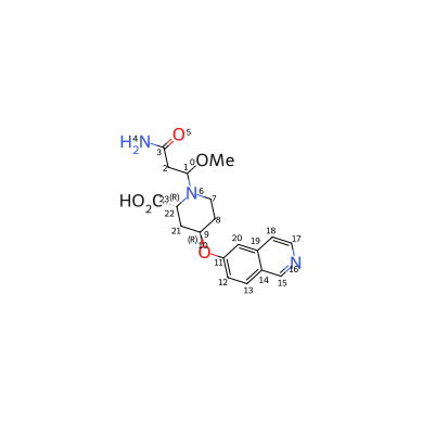 COC(CC(N)=O)N1CC[C@@H](Oc2ccc3cnccc3c2)C[C@@H]1C(=O)O